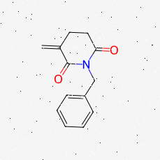 C=C1CCC(=O)N(Cc2ccccc2)C1=O